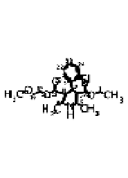 CCOC(=O)C1=C(C)NC(C)=C(C(=O)OCCOC)C1c1ccccc1Cl